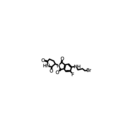 O=C1CCC(N2C(=O)c3cc(F)c(NCCCBr)cc3C2=O)C(=O)N1